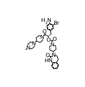 CN1CCN(C2CCN(C(=O)[C@@H](Cc3ccc(N)c(Br)c3)OC(=O)N3CCC(N4CCc5ccccc5NC4=O)CC3)CC2)CC1